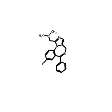 CN(C)Cc1ncc2n1-c1ccc(F)cc1C(c1ccccc1)=NC2